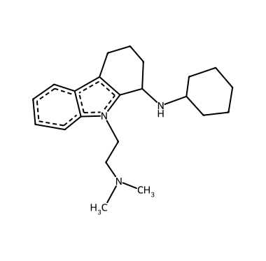 CN(C)CCn1c2c(c3ccccc31)CCCC2NC1CCCCC1